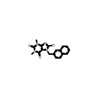 Cn1c(=O)c2c(nc(Cl)n2Cc2ccc3ccccc3c2)n(C)c1=O